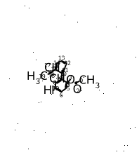 CC(=O)Oc1ccccc1-c1ccccc1C(C)(C)C.I